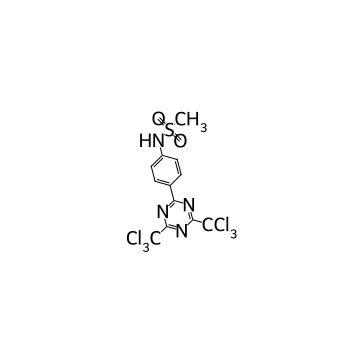 CS(=O)(=O)Nc1ccc(-c2nc(C(Cl)(Cl)Cl)nc(C(Cl)(Cl)Cl)n2)cc1